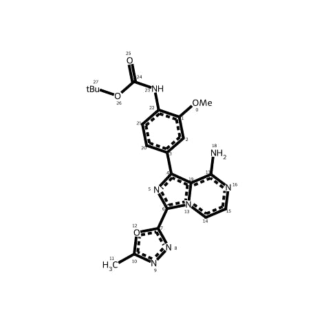 COc1cc(-c2nc(-c3nnc(C)o3)n3ccnc(N)c23)ccc1NC(=O)OC(C)(C)C